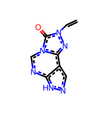 C=Cn1nc2c3cn[nH]c3ncn2c1=O